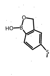 CSc1ccc2c(c1)COB2O